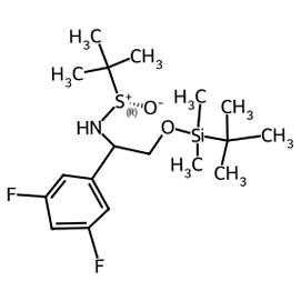 CC(C)(C)[S@+]([O-])NC(CO[Si](C)(C)C(C)(C)C)c1cc(F)cc(F)c1